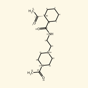 CC(=O)[C@@H]1CCCCC1C(=O)NCCN1CCN(C(C)=O)CC1